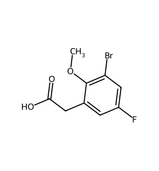 COc1c(Br)cc(F)cc1CC(=O)O